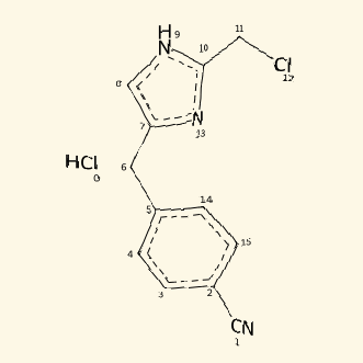 Cl.N#Cc1ccc(Cc2c[nH]c(CCl)n2)cc1